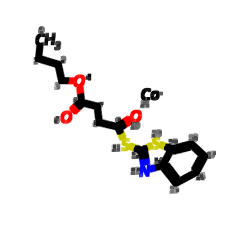 CCCCOC(=O)CCC(=O)Sc1nc2ccccc2s1.[Co]